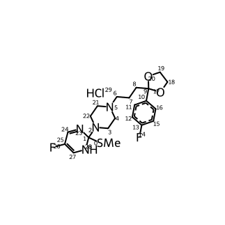 CSC1(N2CCN(CCCC3(c4ccc(F)cc4)OCCO3)CC2)N=CC(F)=CN1.Cl